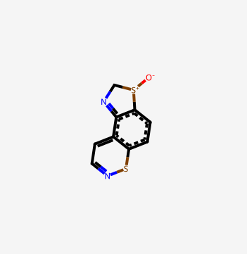 [O-][S+]1CN=c2c1ccc1c2=CC=NS1